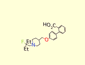 CCC(F)(CC)CN1CCC(COc2ccc(-c3ccccc3C(=O)O)cc2)CC1